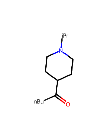 CCCCC(=O)C1CCN(C(C)C)CC1